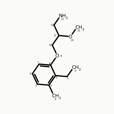 CCc1c(C)cccc1OCC(CN)OC